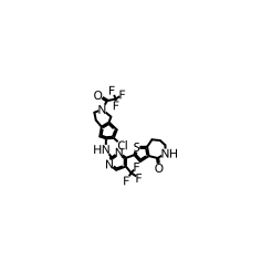 O=C1NCCCc2sc(-c3nc(Nc4cc5c(cc4Cl)CN(C(=O)C(F)(F)F)CC5)ncc3C(F)(F)F)cc21